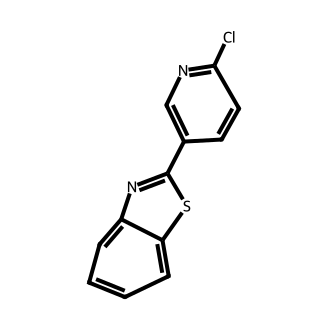 Clc1ccc(-c2nc3ccccc3s2)cn1